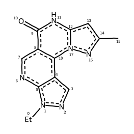 CCn1ncc2c1ncc1c(=O)[nH]c3cc(C)nn3c12